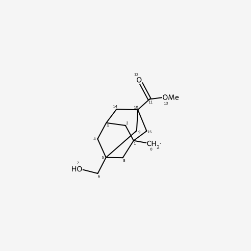 [CH2]C12CC3CC(CO)(C1)CC(C(=O)OC)(C3)C2